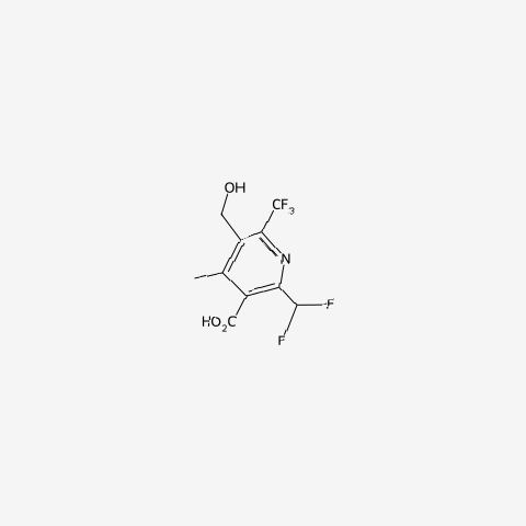 Cc1c(CO)c(C(F)(F)F)nc(C(F)F)c1C(=O)O